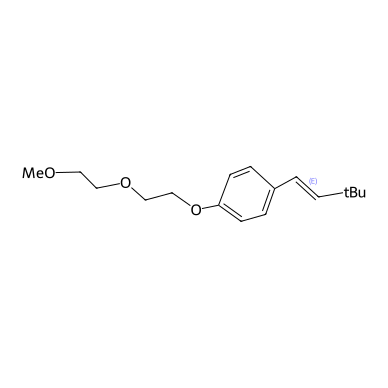 COCCOCCOc1ccc(/C=C/C(C)(C)C)cc1